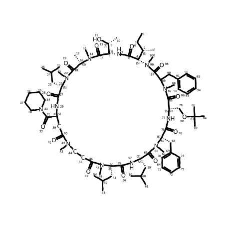 CC[C@H](C)[C@H]1C(=O)N[C@@H]([C@@H](C)O)C(=O)N(C)[C@@H](C)C(=O)N(C)[C@@H](CC(C)C)C(=O)N[C@H](C(=O)N2CCCCC2)CC(=O)N(C)CCC(=O)N(C)[C@@H](CC(C)C)C(=O)N[C@@H](CC(C)C)C(=O)N(C)[C@@H](Cc2ccccc2)C(=O)N[C@@H](COC(C)(C)C)C(=O)N(C)C(Cc2ccccc2)C(=O)N1C